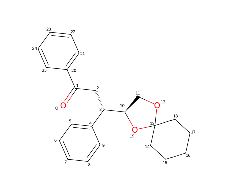 O=C(C[C@@H](c1ccccc1)[C@H]1COC2(CCCCC2)O1)c1ccccc1